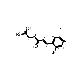 CC(C)(C)C(=O)CCC(=O)/C=C/c1ccccc1F